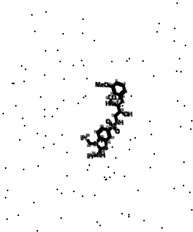 COc1cccc(C[C@H](NC(=O)O)[C@@H](O)CNS(=O)(=O)c2ccc3c(c2)SC(NC(C)C)N3CC(C)C)c1